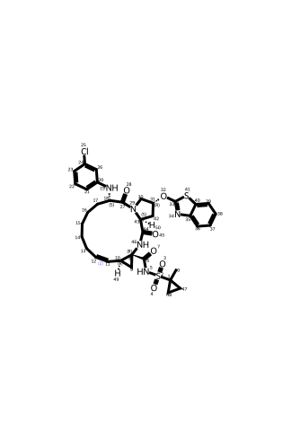 CC1(S(=O)(=O)NC(=O)[C@@]23C[C@H]2/C=C\CCCCC[C@H](Nc2cccc(Cl)c2)C(=O)N2C[C@H](Oc4nc5ccccc5s4)C[C@H]2C(=O)N3)CC1